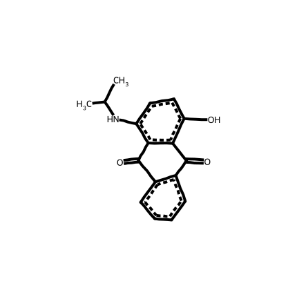 CC(C)Nc1ccc(O)c2c1C(=O)c1ccccc1C2=O